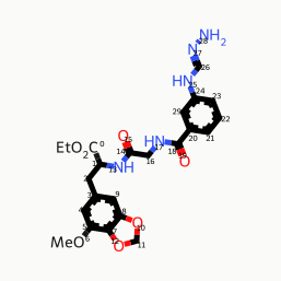 CCOC(=O)C(Cc1cc(OC)c2c(c1)OCO2)NC(=O)CNC(=O)c1cccc(NC=NN)c1